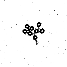 N#Cc1ccc(N(c2ccc3c(c2)C(c2ccccc2)(c2ccccc2)c2ccccc2-3)c2ccc3c(c2)c2ccccc2n3-c2ccccc2)cc1